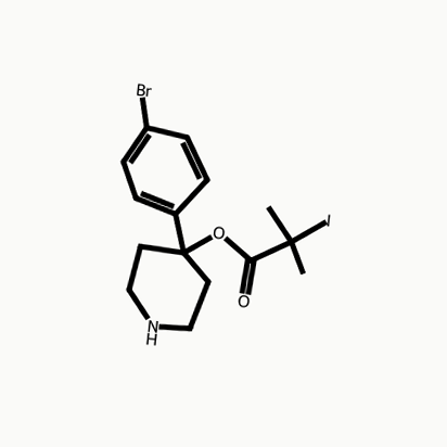 CC(C)(I)C(=O)OC1(c2ccc(Br)cc2)CCNCC1